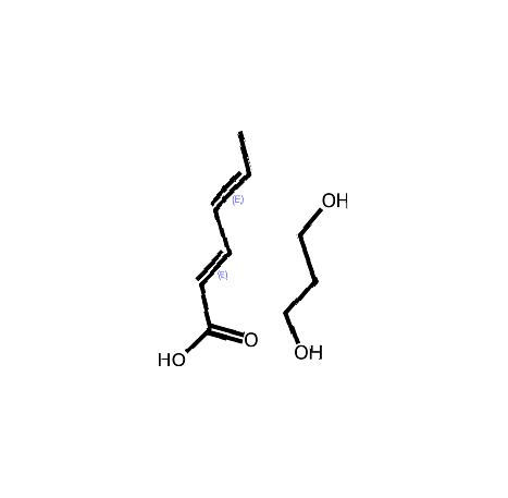 C/C=C/C=C/C(=O)O.OCCCO